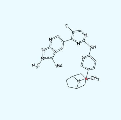 CN1CC2CCC(C1)N2Cc1ccc(Nc2ncc(F)c(-c3cnc4nn(C)c(C(C)(C)C)c4c3)n2)nc1